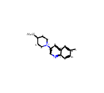 COC1CCN(c2cnc3ccc(C)cc3c2)CC1